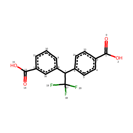 O=C(O)c1ccc(C(c2cccc(C(=O)O)c2)C(F)(F)F)cc1